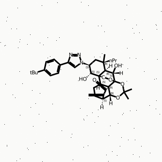 C=C1C(=O)[C@@]23[C@@H]4OC(C)(C)OC25OC[C@]2([C@H](O)[C@@H](n6cc(-c7ccc(C(C)(C)C)cc7)nn6)C[C@@](C)(CCC)[C@H]2[C@@H]5O)[C@@H]3CC[C@@H]14